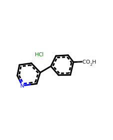 Cl.O=C(O)c1ccc(-c2cccnc2)cc1